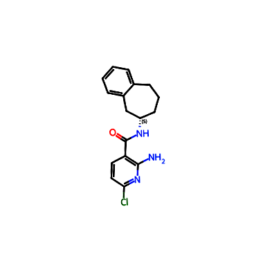 Nc1nc(Cl)ccc1C(=O)N[C@H]1CCCc2ccccc2C1